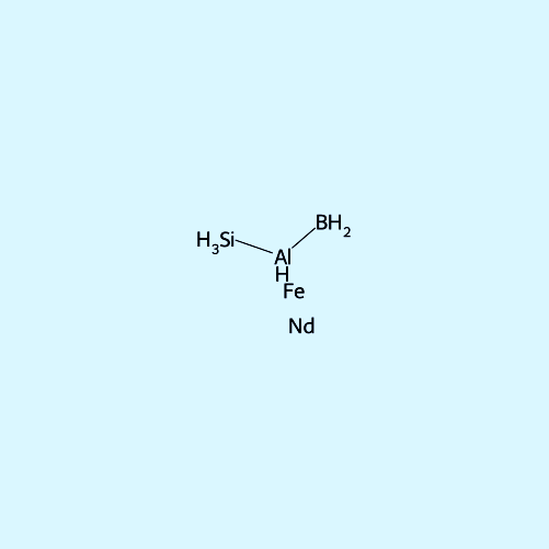 [BH2][AlH][SiH3].[Fe].[Nd]